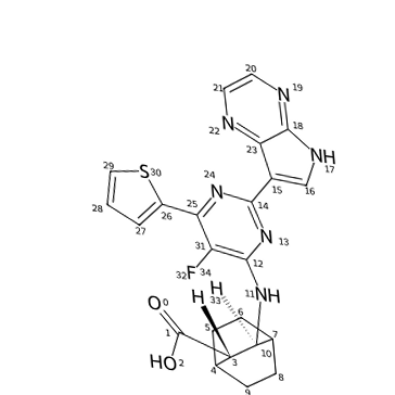 O=C(O)[C@H]1C2CCC(CC2)[C@@H]1Nc1nc(-c2c[nH]c3nccnc23)nc(-c2cccs2)c1F